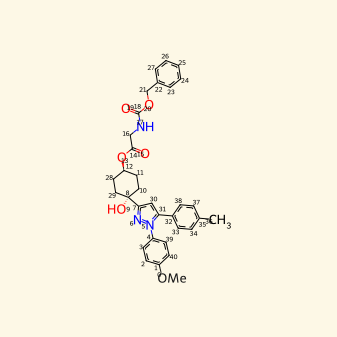 COc1ccc(-n2nc([C@]3(O)CC[C@H](OC(=O)CNC(=O)OCc4ccccc4)CC3)cc2-c2ccc(C)cc2)cc1